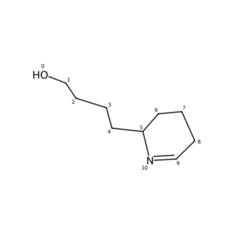 OCCCCC1CCCC=N1